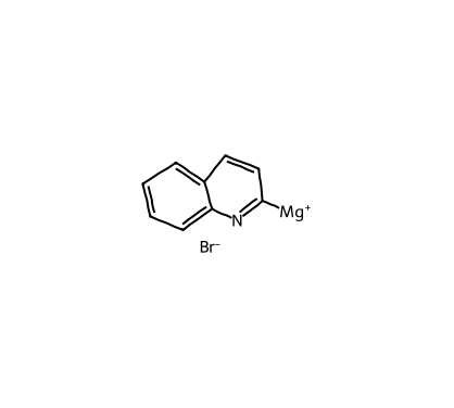 [Br-].[Mg+][c]1ccc2ccccc2n1